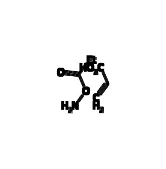 C=CC(=O)O.CCC(=O)ON